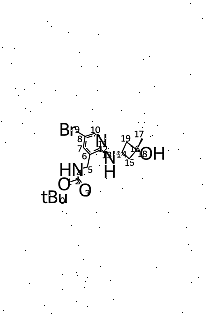 CC(C)(C)OC(=O)NCc1cc(Br)cnc1N[C@H]1C[C@@](C)(O)C1